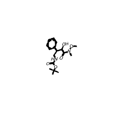 CON(C)C(=O)C(O)C(CNC(=O)OC(C)(C)C)c1ccccc1